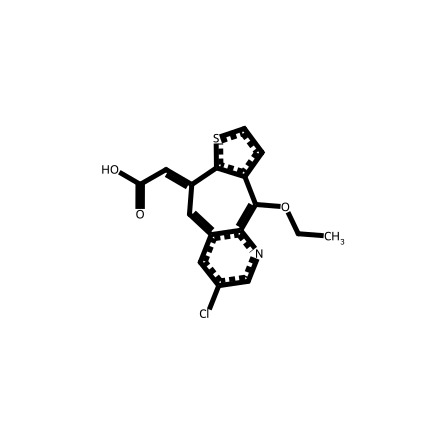 CCOC1=c2ncc(Cl)cc2=CC(=CC(=O)O)c2sccc21